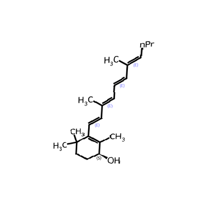 CCC/C=C(C)/C=C/C=C(C)/C=C/C1=C(C)[C@@H](O)CCC1(C)C